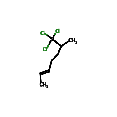 CC=CCCC(C)[Si](Cl)(Cl)Cl